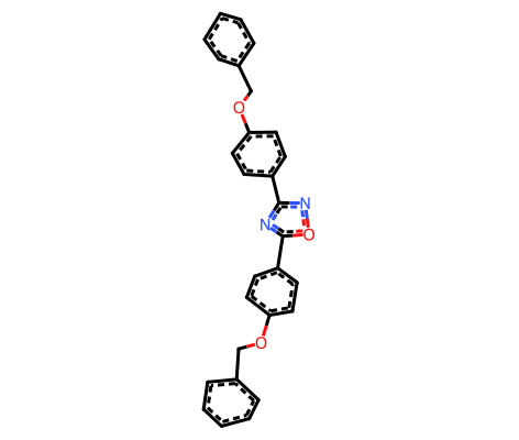 c1ccc(COc2ccc(-c3noc(-c4ccc(OCc5ccccc5)cc4)n3)cc2)cc1